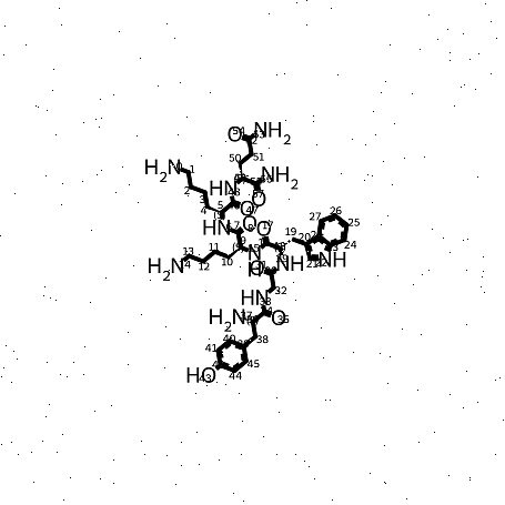 NCCCC[C@H](NC(=O)[C@H](CCCCN)NC(=O)[C@H](Cc1c[nH]c2ccccc12)NC(=O)CNC(=O)[C@@H](N)Cc1ccc(O)cc1)C(=O)N[C@@H](CCC(N)=O)C(N)=O